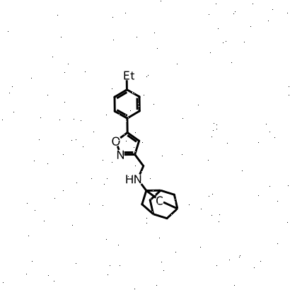 CCc1ccc(-c2cc(CNC34CC5CC(CC3C5)C4)no2)cc1